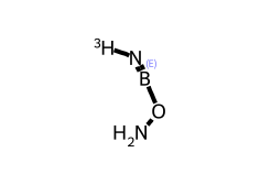 [3H]/N=B/ON